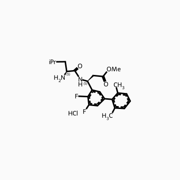 COC(=O)C[C@H](NC(=O)[C@@H](N)CC(C)C)c1cc(-c2c(C)cccc2C)cc(F)c1F.Cl